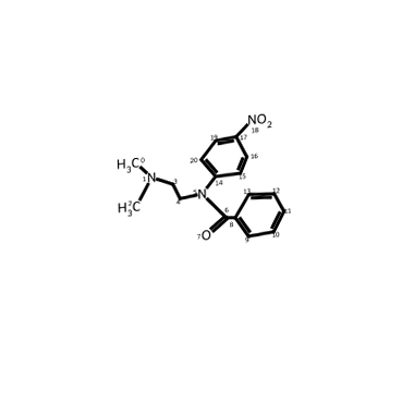 CN(C)CCN(C(=O)c1ccccc1)c1ccc([N+](=O)[O-])cc1